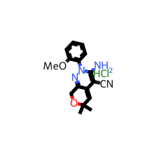 COc1ccccc1N1N=C2COC(C)(C)C=C2C(C#N)=C1N.Cl